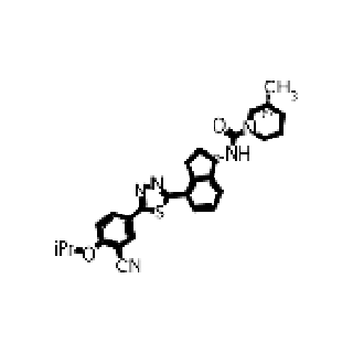 CC(C)Oc1ccc(-c2nnc(-c3cccc4c3CC[C@@H]4NC(=O)N3CCC[C@H](C)C3)s2)cc1C#N